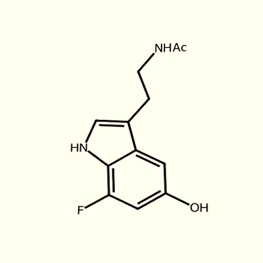 CC(=O)NCCc1c[nH]c2c(F)cc(O)cc12